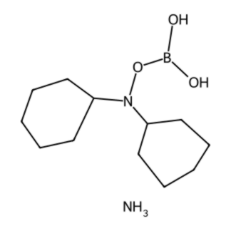 N.OB(O)ON(C1CCCCC1)C1CCCCC1